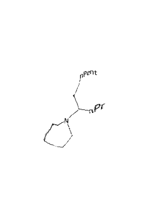 CCCCCCC(CCC)N1CCCC1